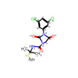 CCCSC(C)(C)NC(=O)N1CC(=O)N(c2cc(Cl)cc(Cl)c2)C1=O